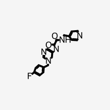 O=C(NCc1ccncc1)c1nc2c(o1)N=CN(Cc1ccc(F)cc1)C2